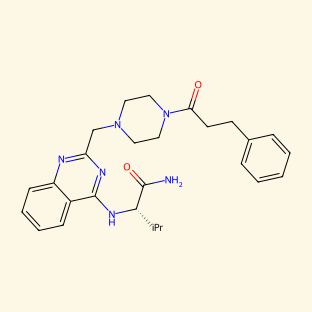 CC(C)[C@H](Nc1nc(CN2CCN(C(=O)CCc3ccccc3)CC2)nc2ccccc12)C(N)=O